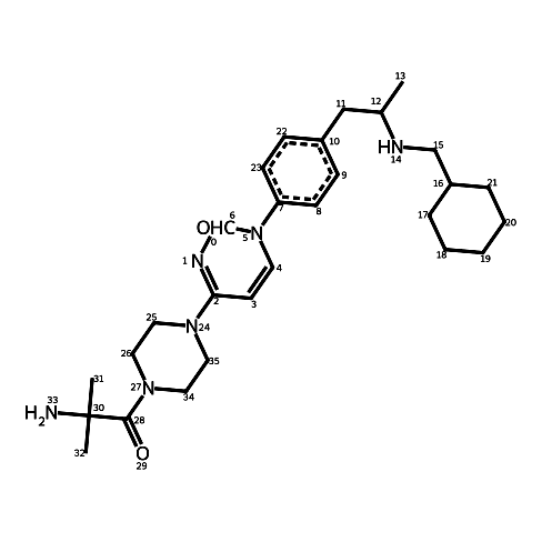 C/N=C(\C=C/N(C=O)c1ccc(CC(C)NCC2CCCCC2)cc1)N1CCN(C(=O)C(C)(C)N)CC1